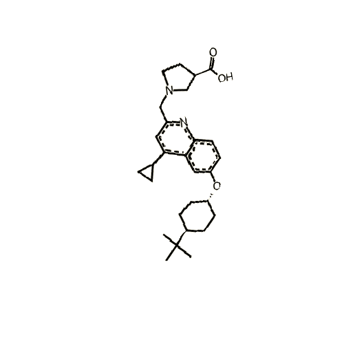 CC(C)(C)[C@H]1CC[C@H](Oc2ccc3nc(CN4CCC(C(=O)O)C4)cc(C4CC4)c3c2)CC1